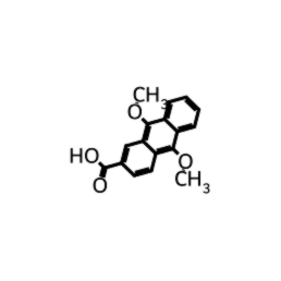 COc1c2ccccc2c(OC)c2cc(C(=O)O)ccc12